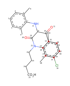 Cc1cccc(C)c1NC(C(=O)c1ccc(Cl)cc1)C(=O)N(CCCC(=O)O)c1c(C)cccc1C